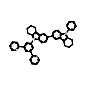 c1ccc(-n2c3c(c4cc(-c5ccc6c(c5)c5c(n6-c6cc(-c7ccccn7)cc(-c7ccccn7)c6)CCCC5)ccc42)CCCC3)cc1